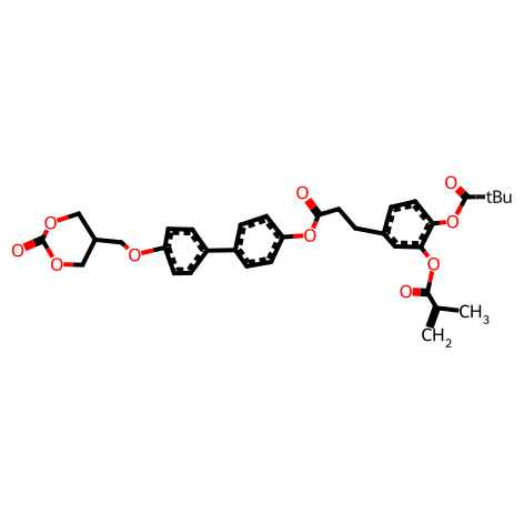 C=C(C)C(=O)Oc1cc(CCC(=O)Oc2ccc(-c3ccc(OCC4COC(=O)OC4)cc3)cc2)ccc1OC(=O)C(C)(C)C